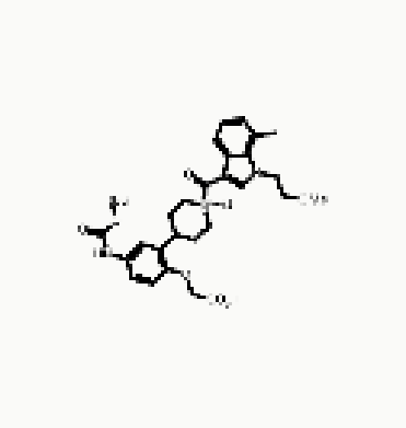 CC[N+]1(C(=O)c2cn(CCOC)c3c(C)cccc23)CCC(c2cc(NC(=O)OC(C)(C)C)ccc2OCC(=O)O)CC1